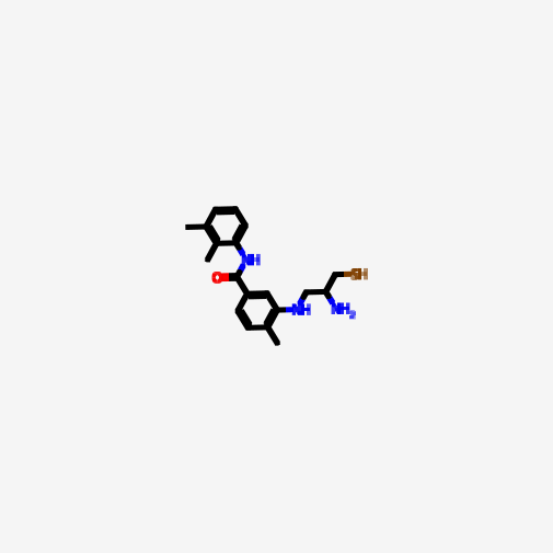 Cc1ccc(C(=O)Nc2cccc(C)c2C)cc1NCC(N)CS